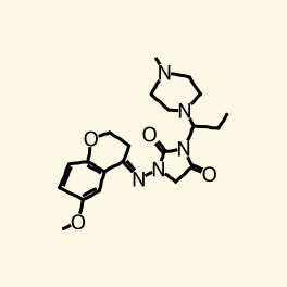 CCC(N1CCN(C)CC1)N1C(=O)CN(/N=C2\CCOc3ccc(OC)cc32)C1=O